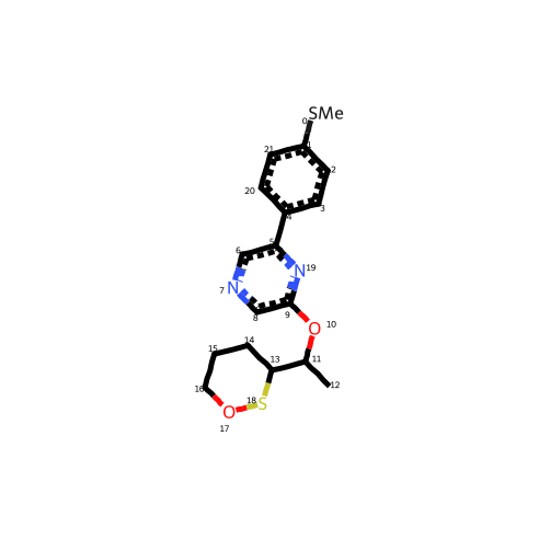 CSc1ccc(-c2cncc(OC(C)C3CCCOS3)n2)cc1